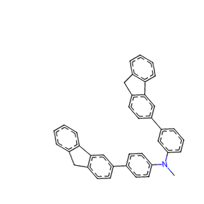 CN(c1ccc(-c2ccc3c(c2)-c2ccccc2C3)cc1)c1cccc(-c2ccc3c(c2)-c2ccccc2C3)c1